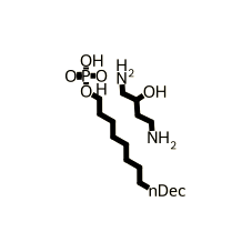 CCCCCCCCCCCCCCCCCCOP(=O)(O)O.NCCC(O)CN